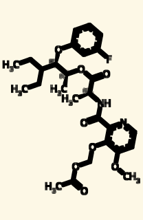 CCC(CC)[C@@H](Oc1cccc(F)c1)[C@H](C)OC(=O)[C@H](C)NC(=O)c1nccc(OC)c1OCOC(C)=O